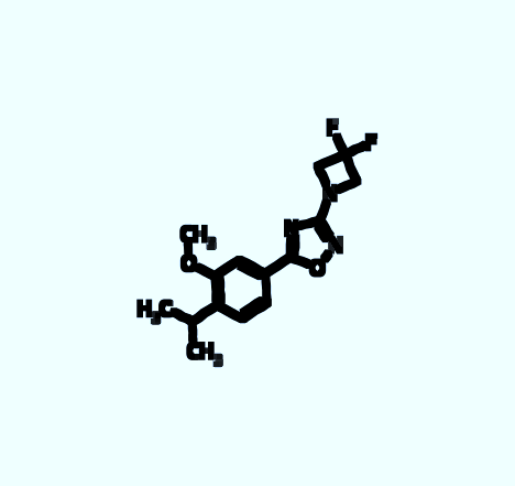 COc1cc(-c2nc(N3CC(F)(F)C3)no2)ccc1C(C)C